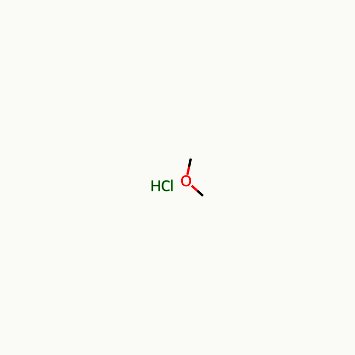 COC.Cl